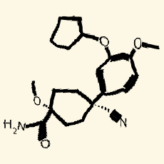 COc1ccc([C@]2(C#N)CC[C@](OC)(C(N)=O)CC2)cc1OC1CCCC1